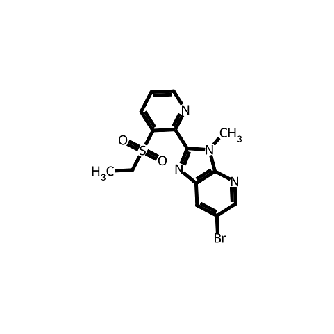 CCS(=O)(=O)c1cccnc1-c1nc2cc(Br)cnc2n1C